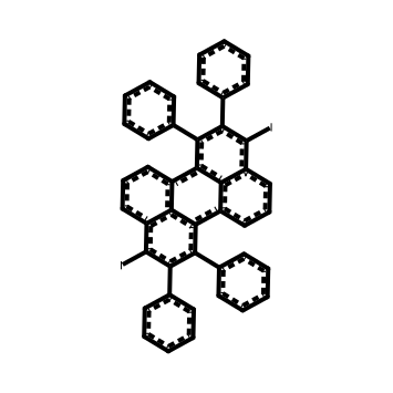 Ic1c(-c2ccccc2)c(-c2ccccc2)c2c3cccc4c(I)c(-c5ccccc5)c(-c5ccccc5)c(c5cccc1c52)c43